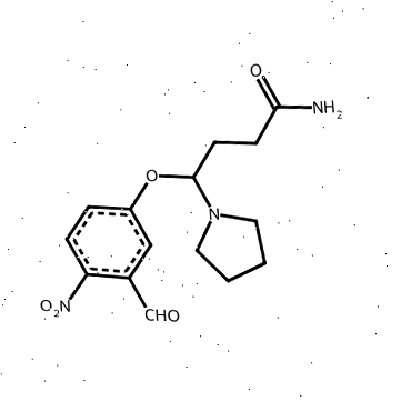 NC(=O)CCC(Oc1ccc([N+](=O)[O-])c(C=O)c1)N1CCCC1